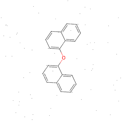 [c]1ccc2c(Oc3[c]ccc4c[c]ccc34)[c]ccc2c1